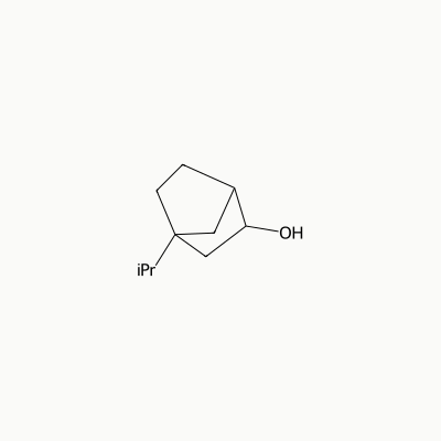 CC(C)C12CCC(C1)C(O)C2